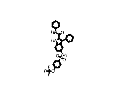 O=C(Nc1ccccc1)c1[nH]c2ccc(NS(=O)(=O)c3ccc(OC(F)(F)F)cc3)cc2c1-c1ccccc1